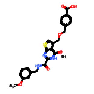 COc1cccc(CNC(=O)c2nc3scc(COCc4ccc(C(=O)O)cc4)c3c(=O)[nH]2)c1.[KH]